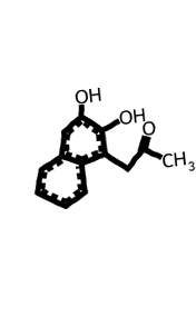 CC(=O)Cc1c(O)c(O)cc2ccccc12